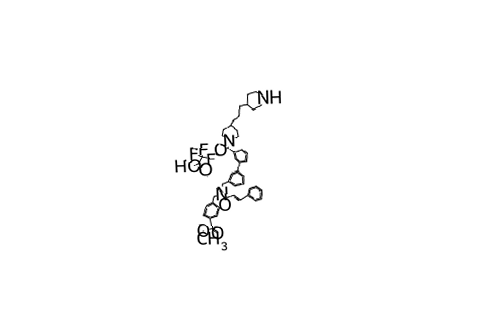 COC(=O)c1ccc(CN(Cc2cccc(-c3cccc(C(=O)N4CCC(CCCC5CCNCC5)CC4)c3)c2)C(=O)C=Cc2ccccc2)cc1.O=C(O)C(F)(F)F